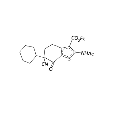 CCOC(=O)c1c(NC(C)=O)sc2c1CCC(C#N)(C1CCCCC1)C2=O